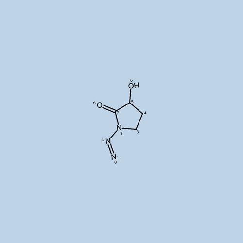 [N]=NN1CCC(O)C1=O